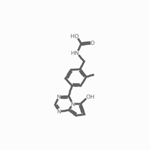 Cc1cc(-c2ncnc3ccc(O)n23)ccc1CNC(=O)O